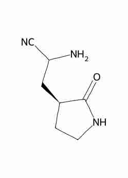 N#CC(N)C[C@@H]1CCNC1=O